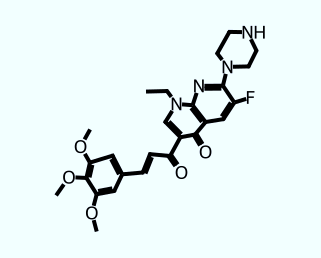 CCn1cc(C(=O)C=Cc2cc(OC)c(OC)c(OC)c2)c(=O)c2cc(F)c(N3CCNCC3)nc21